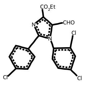 CCOC(=O)c1nc(-c2ccc(Cl)cc2)n(-c2ccc(Cl)cc2Cl)c1C=O